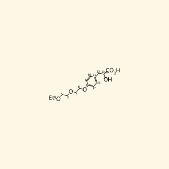 CCOCCOCCOc1ccc(C[C@H](O)C(=O)O)cc1